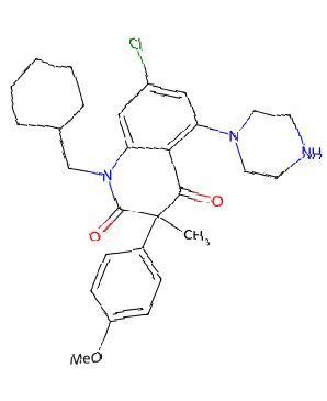 COc1ccc(C2(C)C(=O)c3c(N4CCNCC4)cc(Cl)cc3N(CC3CCCCC3)C2=O)cc1